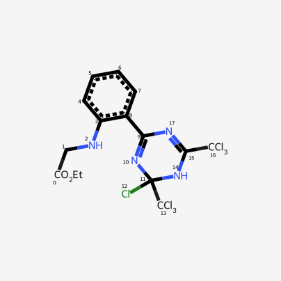 CCOC(=O)CNc1ccccc1C1=NC(Cl)(C(Cl)(Cl)Cl)NC(C(Cl)(Cl)Cl)=N1